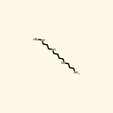 NCCCNCCCCNCCC[NH][BaH]